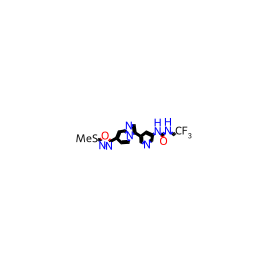 CSc1nnc(-c2ccn3c(-c4cncc(NC(=O)NCC(F)(F)F)c4)cnc3c2)o1